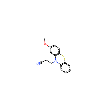 COc1ccc2c(c1)N(CCC#N)c1ccccc1S2